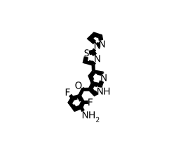 Nc1ccc(F)c(C(=O)c2c[nH]c3ncc(-c4csc(-n5cccn5)n4)cc23)c1F